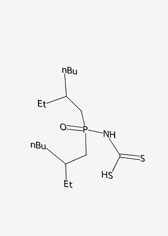 CCCCC(CC)CP(=O)(CC(CC)CCCC)NC(=S)S